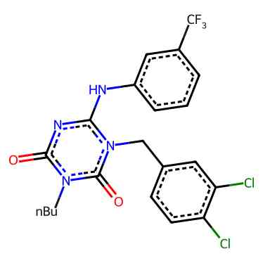 CCCCn1c(=O)nc(Nc2cccc(C(F)(F)F)c2)n(Cc2ccc(Cl)c(Cl)c2)c1=O